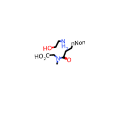 CCCCCCCCCCCC(=O)N(C)CC(=O)O.NCCO